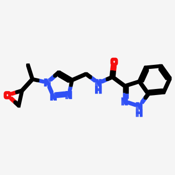 CC(C1CO1)n1cc(CNC(=O)c2n[nH]c3ccccc23)nn1